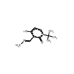 C/N=C/c1c(O)ccn(C(C)(C)C)c1=O